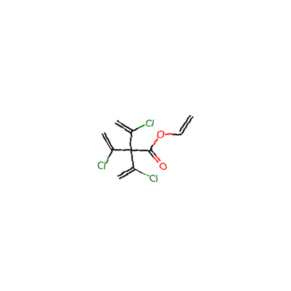 C=COC(=O)C(C(=C)Cl)(C(=C)Cl)C(=C)Cl